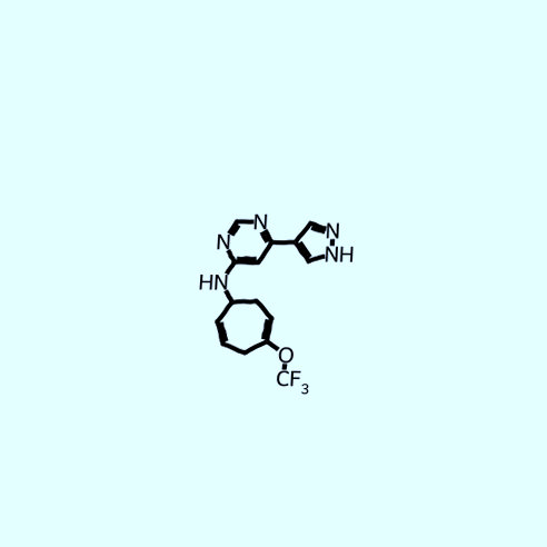 FC(F)(F)OC1=CCC(Nc2cc(-c3cn[nH]c3)ncn2)C=CC1